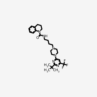 CC(C)(C)c1nc(N2CCN(CCCCNC(=O)N3CCCc4ccccc43)CC2)cc(C(F)(F)F)n1